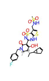 CC(C1C2C=CCC21)[C@H]1C(O)=C(C2=NS(=O)(=O)c3c(CNS(C)(=O)=O)csc3N2)C(=O)N(Cc2ccc(F)cc2)[C@H]1C